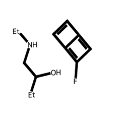 CCNCC(O)CC.Fc1cc2ccc1-2